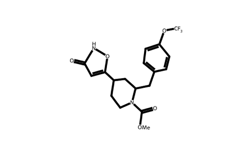 COC(=O)N1CCC(c2cc(=O)[nH]o2)CC1Cc1ccc(OC(F)(F)F)cc1